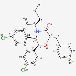 C=C[C@@H](CCC)N1C(=O)[C@H](Cc2ccc(F)cc2)O[C@@H](c2ccc(Cl)cc2)[C@H]1c1ccc(Cl)cc1